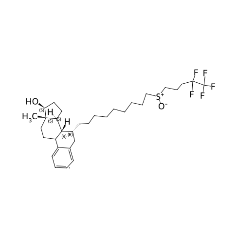 C[C@]12CCC3c4cc[c]cc4C[C@@H](CCCCCCCCC[S+]([O-])CCCC(F)(F)C(F)(F)F)[C@H]3[C@@H]1CC[C@@H]2O